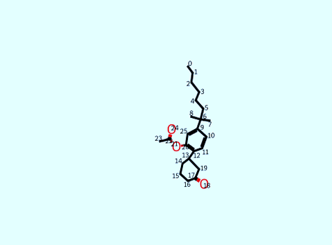 CCCCCCC(C)(C)c1ccc(C2CCCC(=O)C2)c(OC(C)=O)c1